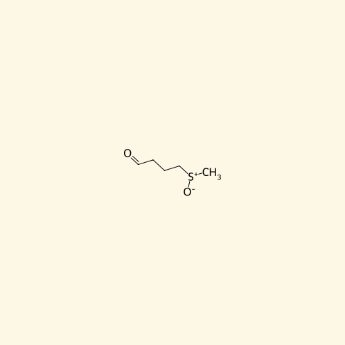 C[S+]([O-])CCCC=O